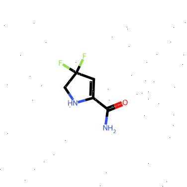 NC(=O)C1=CC(F)(F)CN1